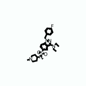 CCN(CC)c1nn(Cc2ccc(F)cc2)c2ccc(S(=O)(=O)N(C)C3CCN(C)CC3)cc12